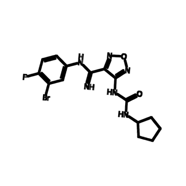 N=C(Nc1ccc(F)c(Br)c1)c1nonc1NC(=O)NC1CCCC1